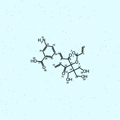 C=CC(=O)OC(C(=O)C=C)(C(=O)C=C)C(CO)(CO)CO.Nc1cccc(C(=O)O)c1